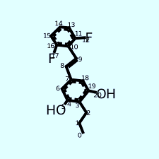 CCCc1c(O)cc(C=Cc2c(F)cccc2F)cc1O